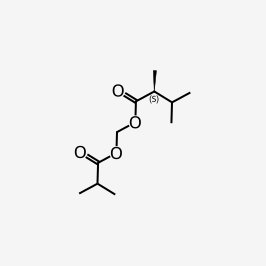 CC(C)C(=O)OCOC(=O)[C@@H](C)C(C)C